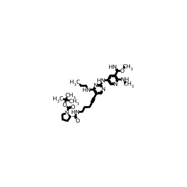 CCCNc1nc(Nc2cnc(NC)c(C(=N)OC)c2)ncc1C#CCCCNC(=O)[C@@H]1CCCN1C(=O)OC(C)(C)C